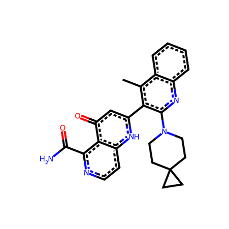 Cc1c(-c2cc(=O)c3c(C(N)=O)nccc3[nH]2)c(N2CCC3(CC2)CC3)nc2ccccc12